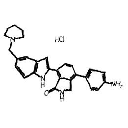 Cl.Nc1ccc(-c2ccc(-c3cc4cc(CN5CCCCC5)ccc4[nH]3)c3c2CNC3=O)cc1